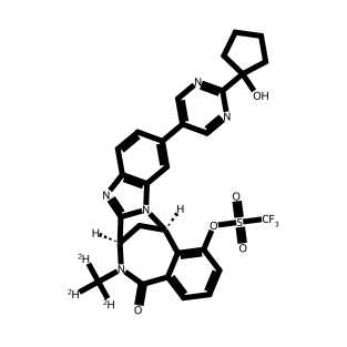 [2H]C([2H])([2H])N1C(=O)c2cccc(OS(=O)(=O)C(F)(F)F)c2[C@H]2C[C@@H]1c1nc3ccc(-c4cnc(C5(O)CCCC5)nc4)cc3n12